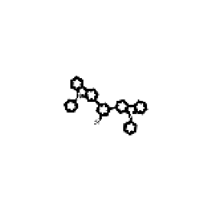 Brc1cc(-c2ccc3c4ccccc4n(-c4ccccc4)c3c2)cc(-c2ccc3c4ccccc4n(-c4ccccc4)c3c2)c1